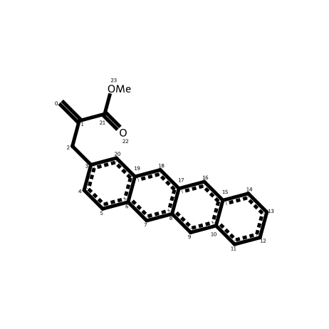 C=C(Cc1ccc2cc3cc4ccccc4cc3cc2c1)C(=O)OC